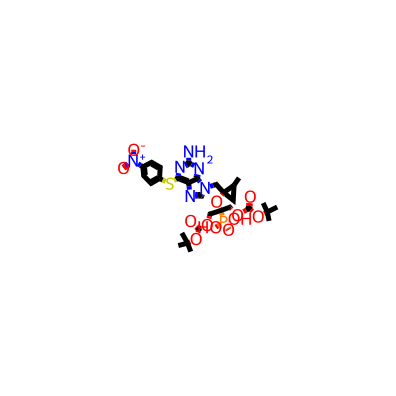 CC1CC1(Cn1cnc2c(Sc3ccc([N+](=O)[O-])cc3)nc(N)nc21)OC(COC(=O)OC(C)(C)C)(COC(=O)OC(C)(C)C)P(=O)(O)O